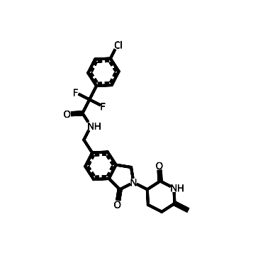 C=C1CCC(N2Cc3cc(CNC(=O)C(F)(F)c4ccc(Cl)cc4)ccc3C2=O)C(=O)N1